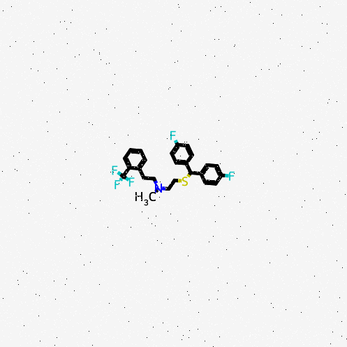 CN(CCSC(c1ccc(F)cc1)c1ccc(F)cc1)CCc1ccccc1C(F)(F)F